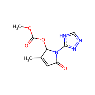 COC(=O)OC1C(C)=CC(=O)N1c1nnc[nH]1